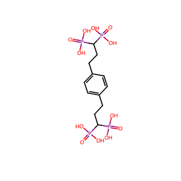 O=P(O)(O)C(CCc1ccc(CCC(P(=O)(O)O)P(=O)(O)O)cc1)P(=O)(O)O